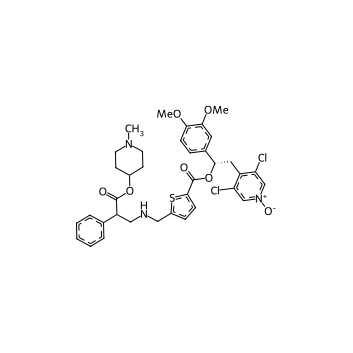 COc1ccc([C@H](Cc2c(Cl)c[n+]([O-])cc2Cl)OC(=O)c2ccc(CNCC(C(=O)OC3CCN(C)CC3)c3ccccc3)s2)cc1OC